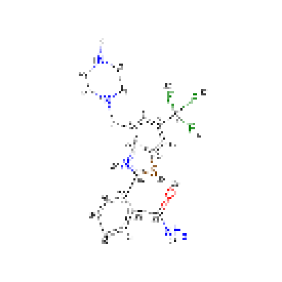 CN1CCN(Cc2cc(C(F)(F)F)cc3sc(-c4ccccc4C(N)=O)nc23)CC1